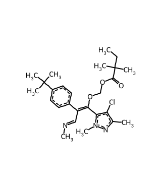 CCC(C)(C)C(=O)OCO/C(=C(/C=N/C)c1ccc(C(C)(C)C)cc1)c1c(Cl)c(C)nn1C